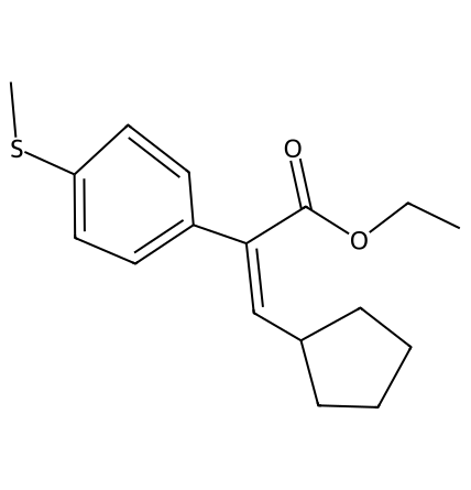 CCOC(=O)C(=CC1CCCC1)c1ccc(SC)cc1